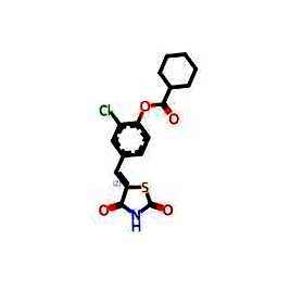 O=C1NC(=O)/C(=C/c2ccc(OC(=O)C3CCCCC3)c(Cl)c2)S1